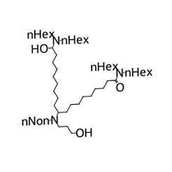 CCCCCCCCCN(CCCO)C(CCCCCCCCC(=O)N(CCCCCC)CCCCCC)CCCCCCCCC(O)N(CCCCCC)CCCCCC